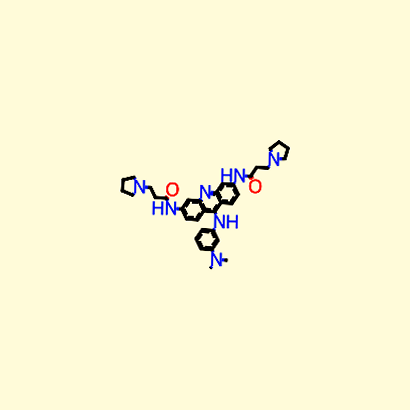 CN(C)c1cccc(Nc2c3ccc(NC(=O)CCN4CCCC4)cc3nc3cc(NC(=O)CCN4CCCC4)ccc23)c1